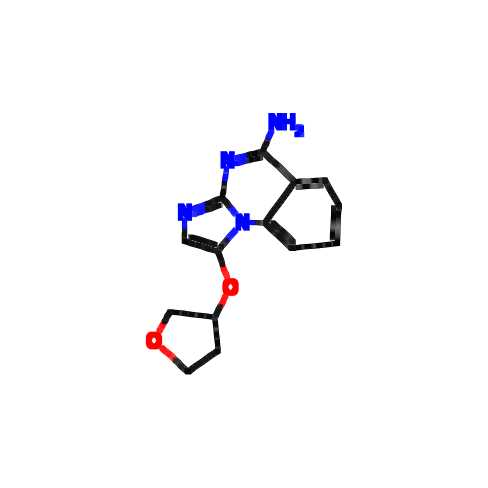 Nc1nc2ncc(OC3CCOC3)n2c2ccccc12